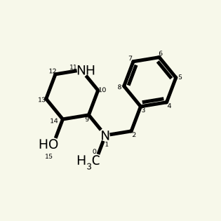 CN(Cc1ccccc1)C1CNCCC1O